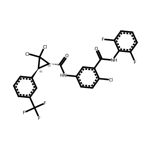 O=C(Nc1c(F)cccc1F)c1cc(NC(=O)[C@@H]2[C@@H](c3cccc(C(F)(F)F)c3)C2(Cl)Cl)ccc1Cl